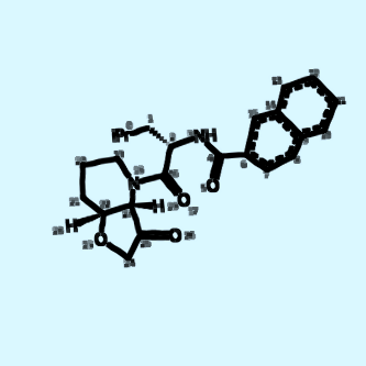 CC(C)C[C@H](NC(=O)c1ccc2ccccc2c1)C(=O)N1CCC[C@H]2OCC(=O)[C@H]21